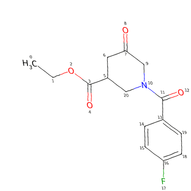 CCOC(=O)C1CC(=O)CN(C(=O)c2ccc(F)cc2)C1